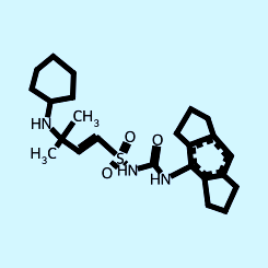 CC(C)(/C=C/S(=O)(=O)NC(=O)Nc1c2c(cc3c1CCC3)CCC2)NC1CCCCC1